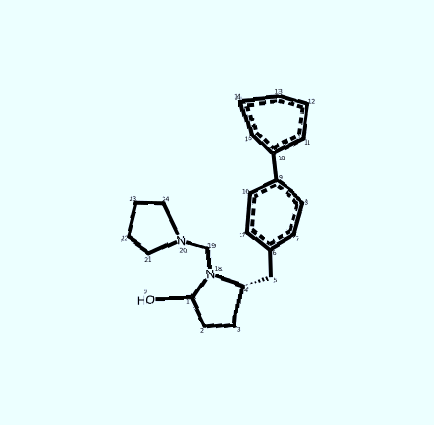 OC1CC[C@@H](Cc2ccc(-c3ccccc3)cc2)N1CN1CCCC1